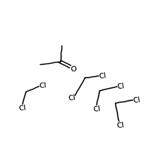 CC(C)=O.ClCCl.ClCCl.ClCCl.ClCCl